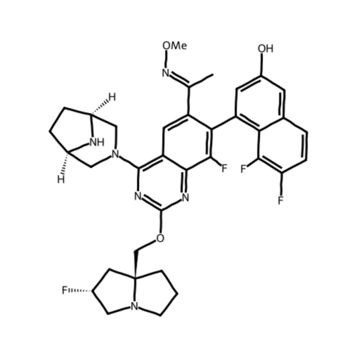 CON=C(C)c1cc2c(N3C[C@H]4CC[C@@H](C3)N4)nc(OC[C@@]34CCCN3C[C@H](F)C4)nc2c(F)c1-c1cc(O)cc2ccc(F)c(F)c12